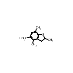 Cc1cc(C(=O)O)c(C)c2c1SC(C)C2